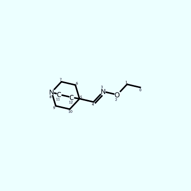 CCON=CC12CCN(CC1)CC2